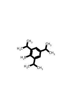 Bc1c(C(C)C)cc(C(C)C)cc1C(C)C